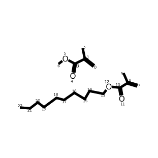 C=C(C)C(=O)OC.C=C(C)C(=O)OCCCCCCCCCC